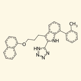 Cc1ccccc1-c1cccc2c(CCCOc3cccc4ccccc34)c(-c3nnn[nH]3)[nH]c12